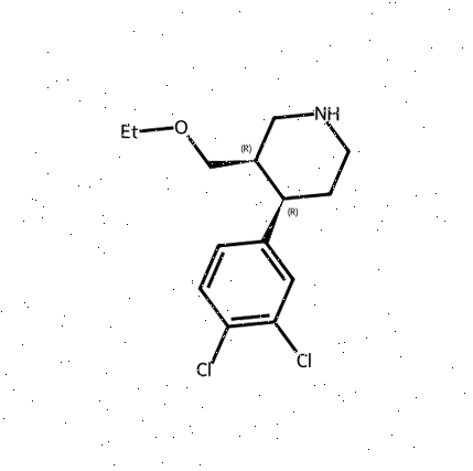 CCOC[C@H]1CNCC[C@H]1c1ccc(Cl)c(Cl)c1